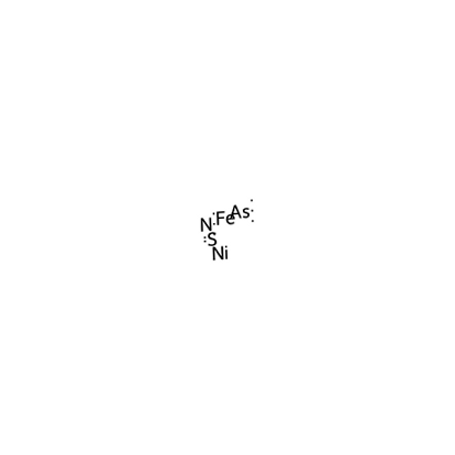 [As].[Fe].[N].[Ni].[S]